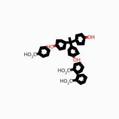 CC(c1ccc(O)cc1)(c1ccc(O)cc1)c1ccc(O)cc1.O=C(O)c1ccccc1.O=C(O)c1ccccc1.O=C(O)c1ccccc1